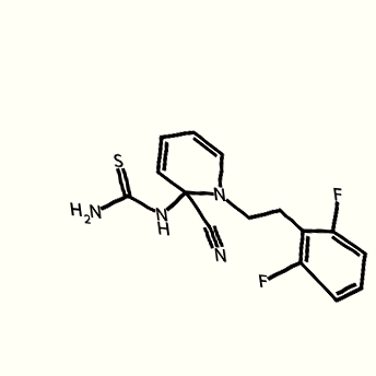 N#CC1(NC(N)=S)C=CC=CN1CCc1c(F)cccc1F